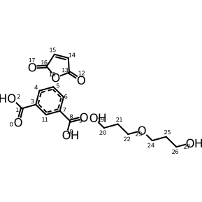 O=C(O)c1cccc(C(=O)O)c1.O=C1C=CC(=O)O1.OCCCOCCCO